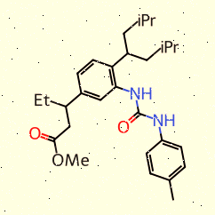 CCC(CC(=O)OC)c1ccc(C(CC(C)C)CC(C)C)c(NC(=O)Nc2ccc(C)cc2)c1